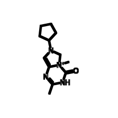 CC1=NC2=CN(C3CCCC3)C[N+]2(C)C(=O)N1